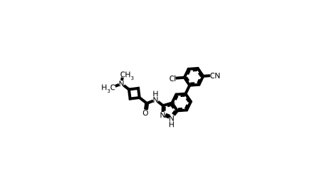 CN(C)C1CC(C(=O)Nc2n[nH]c3ccc(-c4cc(C#N)ccc4Cl)cc23)C1